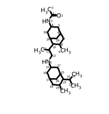 CC(=O)NC1CC2CC(C)C(C(C)CNC3CC4CC(C)C(C(C)C)C(C4)C3)C(C2)C1